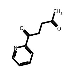 CC(=O)CCC(=O)c1ccccn1